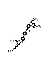 C=CC(=O)OC(CCCCCCCC)Oc1ccc(-c2ccc(OC(=O)c3ccc(OC(CCC)C4CC(=C)C(=O)O4)cc3)cc2)cc1